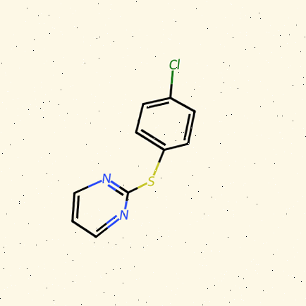 Clc1ccc(Sc2ncccn2)cc1